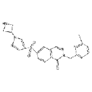 Cc1cccc(Cn2ncc3cc(S(=O)(=O)c4cnn(C5CNC5)c4)ccc3c2=O)n1